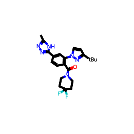 Cc1nnc(-c2ccc(C(=O)N3CCC(F)(F)CC3)c(-n3ccc(C(C)(C)C)n3)c2)[nH]1